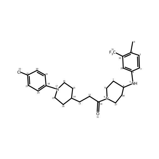 Cc1ccc(NC2CCN(C(=O)CCC3CCN(c4ccc(Cl)cc4)CC3)CC2)cc1C(F)(F)F